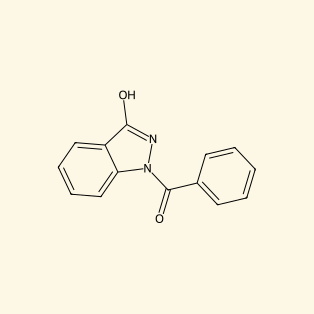 O=C(c1ccccc1)n1nc(O)c2ccccc21